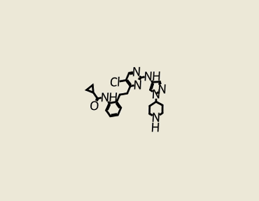 O=C(Nc1ccccc1CCc1nc(Nc2cnn(C3CCNCC3)c2)ncc1Cl)C1CC1